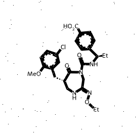 CCO/N=C1/CN(C(=O)N[C@H](CC)c2ccc(C(=O)O)cc2)C(=O)[C@@H](Cc2cc(Cl)ccc2OC)CN1